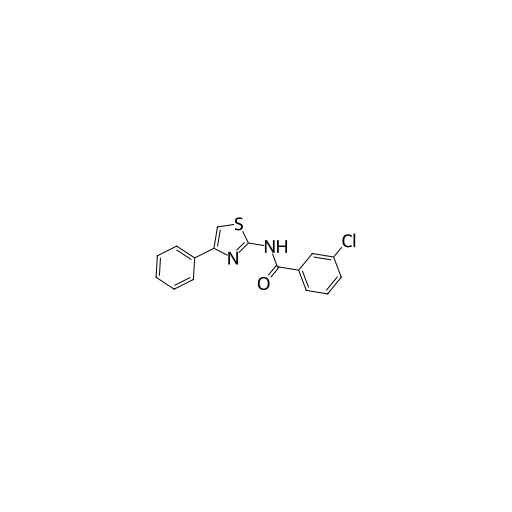 O=C(Nc1nc(-c2ccccc2)cs1)c1cccc(Cl)c1